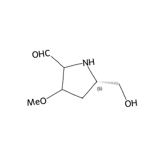 COC1C[C@@H](CO)NC1C=O